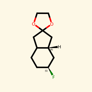 F[C@H]1CCC2CC3(C[C@@H]2C1)OCCO3